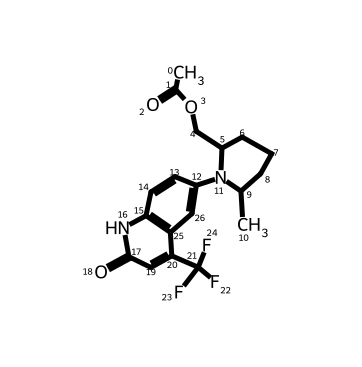 CC(=O)OCC1CCCC(C)N1c1ccc2[nH]c(=O)cc(C(F)(F)F)c2c1